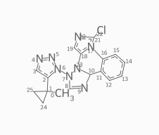 CC1(c2cnnn2N2C=NC3c4ccccc4-n4c(cnc4Cl)N32)CC1